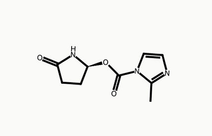 Cc1nccn1C(=O)O[C@H]1CCC(=O)N1